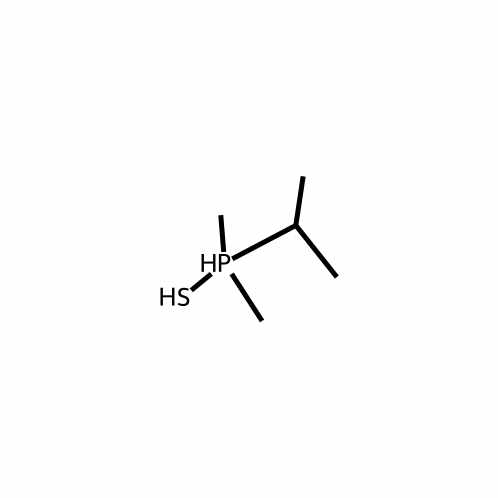 CC(C)[PH](C)(C)S